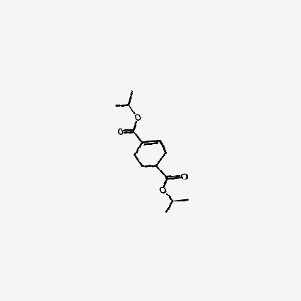 CC(C)OC(=O)C1=CCC(C(=O)OC(C)C)CC1